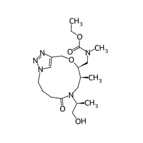 CCOC(=O)N(C)C[C@@H]1OCc2cn(nn2)CCCC(=O)N([C@@H](C)CO)C[C@@H]1C